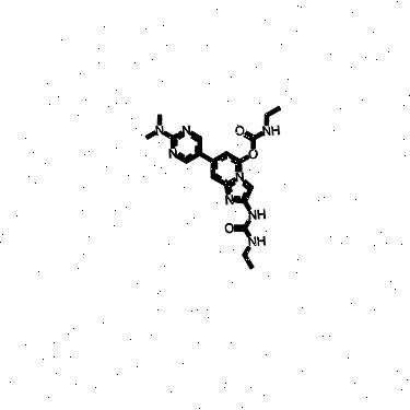 CCNC(=O)Nc1cn2c(OC(=O)NCC)cc(-c3cnc(N(C)C)nc3)cc2n1